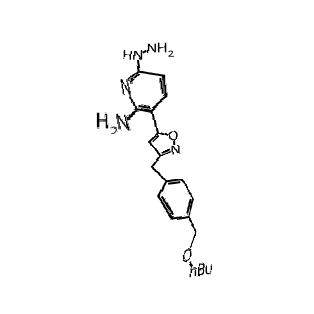 CCCCOCc1ccc(Cc2cc(-c3ccc(NN)nc3N)on2)cc1